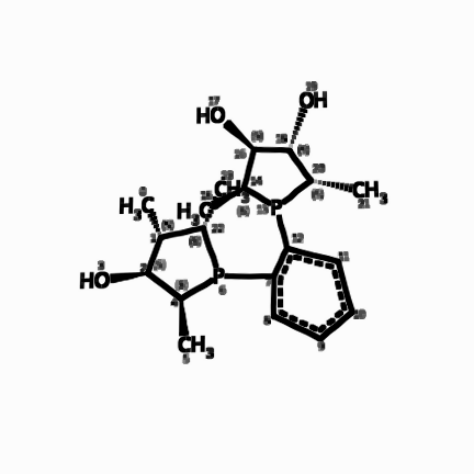 C[C@H]1[C@H](O)[C@H](C)P(c2ccccc2P2[C@@H](C)[C@@H](O)[C@H](O)[C@@H]2C)[C@H]1C